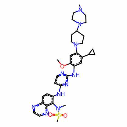 COc1cc(N2CCC(N3CCN(C)CC3)CC2)c(C2CC2)cc1Nc1nccc(Nc2ccc3nccnc3c2N(C)S(C)(=O)=O)n1